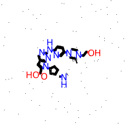 CNC.C[C@H]1CN(c2ccc(Nc3ncc4cc(C(=O)O)n(C5CCCC5)c4n3)nc2)CCN1CCO